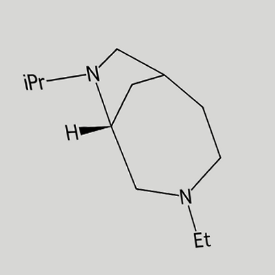 CCN1CCC2C[C@H](C1)N(C(C)C)C2